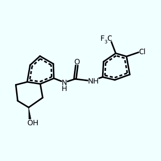 O=C(Nc1ccc(Cl)c(C(F)(F)F)c1)Nc1cccc2c1C[C@@H](O)CC2